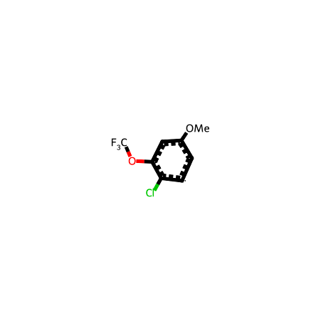 COc1c[c]c(Cl)c(OC(F)(F)F)c1